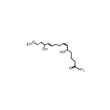 CCOCCC(O)/C=C/CC/C=C\C(O)CCCC(N)=O